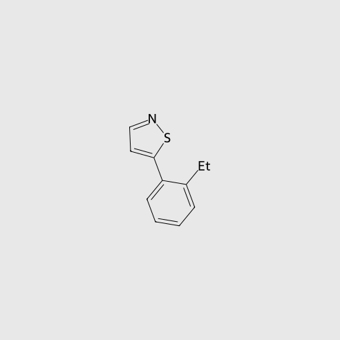 CCc1ccccc1-c1ccns1